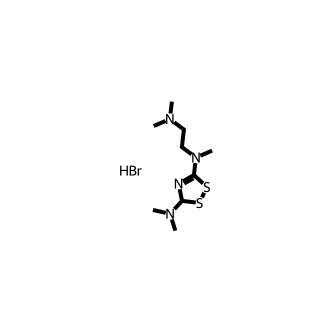 Br.CN(C)CCN(C)C1=NC(N(C)C)SS1